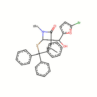 C[SiH](C)C1(C(O)c2ccc(Br)o2)C(=O)N(C(C)(C)C)C1SC(c1ccccc1)(c1ccccc1)c1ccccc1